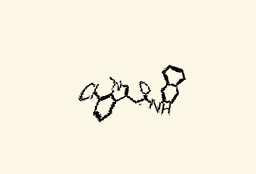 Cn1cc([CH]C(=O)Nc2ccc3ccccc3c2)c2cccc(Cl)c21